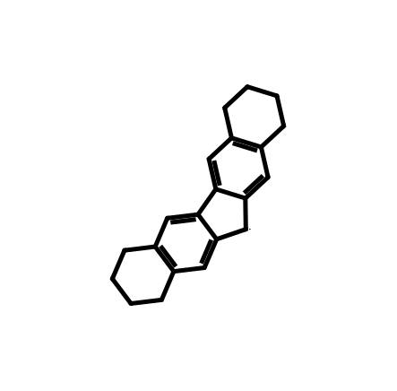 [CH]1c2cc3c(cc2-c2cc4c(cc21)CCCC4)CCCC3